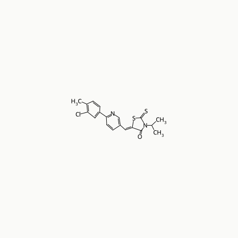 Cc1ccc(-c2ccc(/C=C3\SC(=S)N(C(C)C)C3=O)cn2)cc1Cl